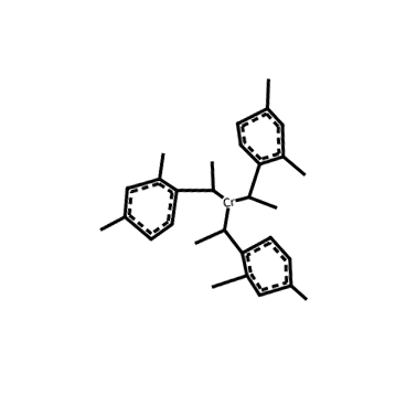 Cc1ccc([CH](C)[Cr]([CH](C)c2ccc(C)cc2C)[CH](C)c2ccc(C)cc2C)c(C)c1